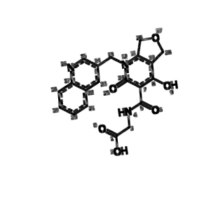 O=C(O)CNC(=O)c1c(O)c2c(n(Cc3cnc4ccccc4c3)c1=O)COC2